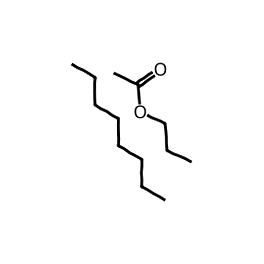 CCCCCCCC.CCCOC(C)=O